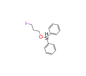 ICCCO[SiH](c1ccccc1)c1ccccc1